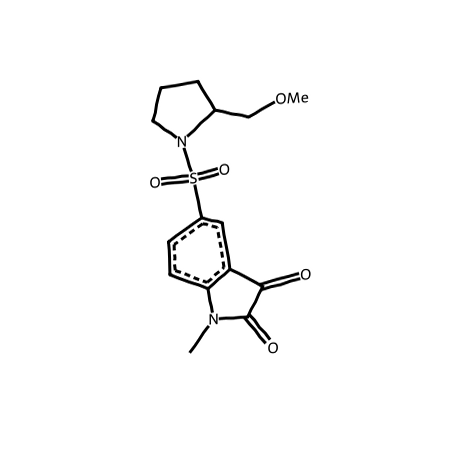 COCC1CCCN1S(=O)(=O)c1ccc2c(c1)C(=O)C(=O)N2C